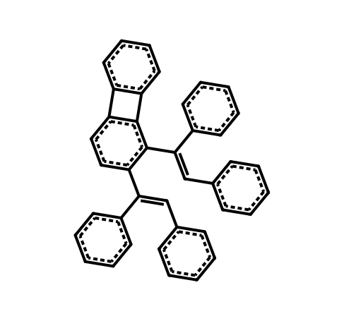 C(=C(c1ccccc1)c1ccc2c(c1C(=Cc1ccccc1)c1ccccc1)-c1ccccc1-2)c1ccccc1